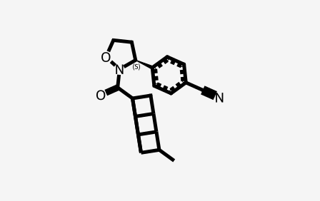 CC1C2C3CC4(C(=O)N5OCC[C@H]5c5ccc(C#N)cc5)C1C2C34